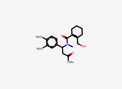 COC(=O)CC(c1ccc(OC)c(OC)c1)N(C)C(=O)C1=C(CO)CCCC1